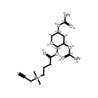 C#CC[N+](C)(C)CCCC(=O)O[C@H]1OC[C@@H](OC(=O)CCC)CC1OC(=O)CCC